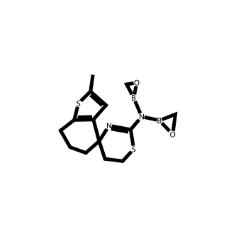 Cc1cc2c(s1)CCCC21CCSC(N(B2CO2)B2CO2)=N1